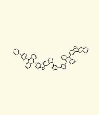 c1ccc(-c2ccc(-c3c4ccccc4c(-c4ccc5oc6cc7c(-c8cccc(-c9cccc(-c%10c%11ccccc%11c(-c%11ccc%12oc%13cc%14ccccc%14cc%13c%12c%11)c%11ccccc%10%11)c9)c8)cccc7cc6c5c4)c4ccccc34)cc2)cc1